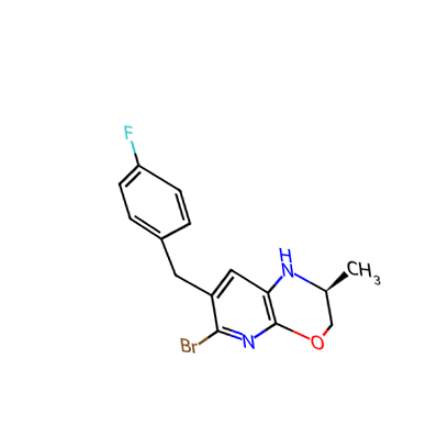 C[C@H]1COc2nc(Br)c(Cc3ccc(F)cc3)cc2N1